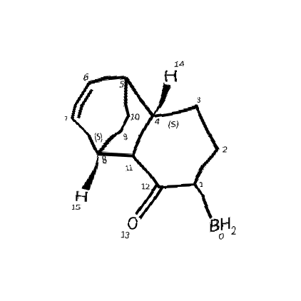 BC1CC[C@H]2C3C=C[C@H](CC3)C2C1=O